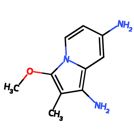 COc1c(C)c(N)c2cc(N)ccn12